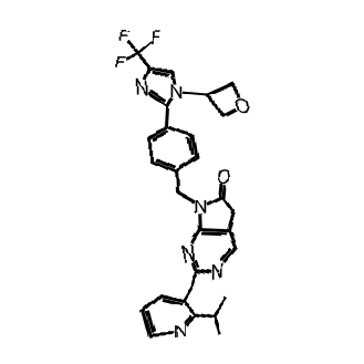 CC(C)c1ncccc1-c1ncc2c(n1)N(Cc1ccc(-c3nc(C(F)(F)F)cn3C3COC3)cc1)C(=O)C2